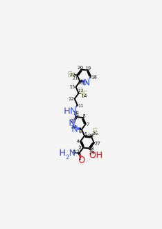 NC(=O)c1cc(-c2ccc(NCC[C@H](F)Cc3ncccc3F)nn2)c(F)cc1O